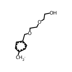 [CH2]c1ccc(COCCOCCO)cc1